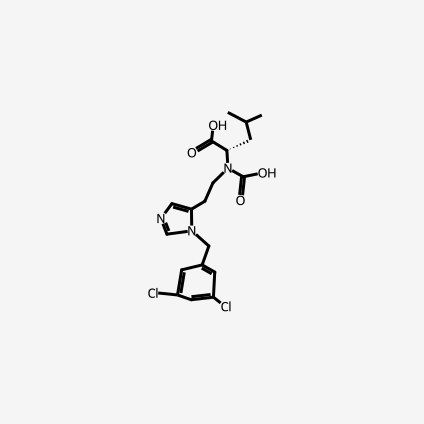 CC(C)C[C@@H](C(=O)O)N(CCc1cncn1Cc1cc(Cl)cc(Cl)c1)C(=O)O